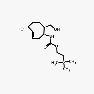 CS(C)(C)CCOC(=O)N[C@H]1C/C=C/[C@H](O)CC[C@H]1CO